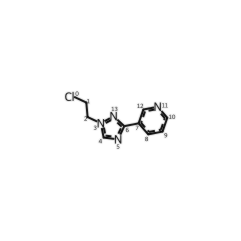 ClCCn1cnc(-c2cccnc2)n1